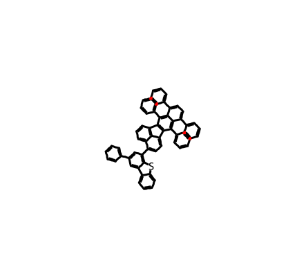 c1ccc(-c2cc(-c3ccc4c5c(cccc35)-c3c-4c(-c4ccccc4)c4c(-c5ccccc5)ccc(-c5ccccc5)c4c3-c3ccccc3)c3sc4ccccc4c3c2)cc1